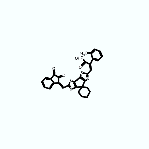 Cc1ccccc1/C(=C/c1nc2c(s1)-c1sc(/C=C3\C(=O)C(=O)c4ccccc43)nc1C21CCCCC1)C(=O)C=O